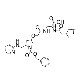 CC(CC(=O)NC(CNC(=O)COC1CC(CNc2ccccn2)N(C(=O)OCc2ccccc2)C1)C(=O)O)CC(C)(C)C